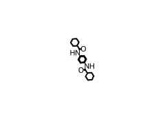 O=C(Nc1ccc(NC(=O)C2CCCCC2)cc1)C1CCCCC1